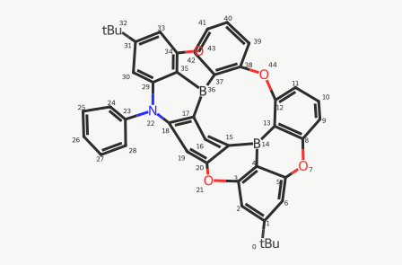 CC(C)(C)c1cc2c3c(c1)Oc1cccc4c1B3c1cc3c(cc1O2)N(c1ccccc1)c1cc(C(C)(C)C)cc2c1B3c1c(cccc1O2)O4